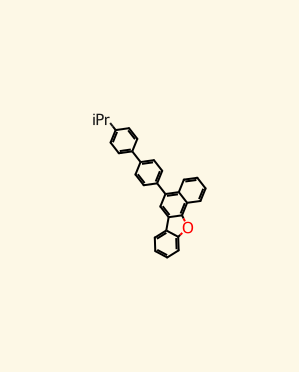 CC(C)c1ccc(-c2ccc(-c3cc4c5ccccc5oc4c4ccccc34)cc2)cc1